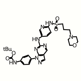 CC(C)(C)OC(=O)Nc1ccc(-n2ncc3cnc(Nc4ccc(NS(=O)(=O)CCCN5CCOCC5)nc4)nc32)cc1